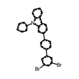 Brc1cc(Br)cc(-c2ccc(-c3ccc4c5ccccc5n(-c5ccccc5)c4c3)cc2)c1